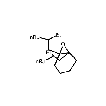 CCCCC(CC)CC12CCCCC1(CC(CC)CCCC)O2